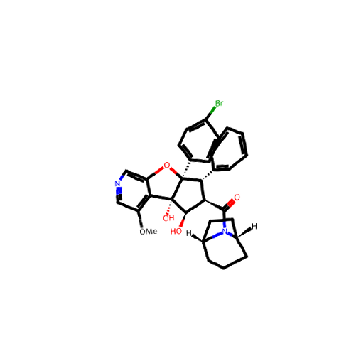 COc1cncc2c1[C@]1(O)[C@H](O)[C@H](C(=O)N3[C@@H]4CCC[C@H]3CC4)[C@@H](c3ccccc3)[C@]1(c1ccc(Br)cc1)O2